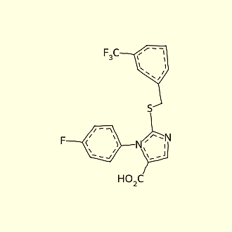 O=C(O)c1cnc(SCc2cccc(C(F)(F)F)c2)n1-c1ccc(F)cc1